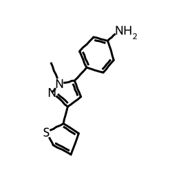 Cn1nc(-c2cccs2)cc1-c1ccc(N)cc1